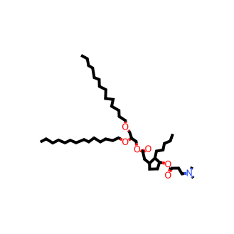 CCCCCCCCCCCCCCOCC(COC(=O)CC1CCC(OC(=O)CCN(C)C)C1CCCCC)OCCCCCCCCCCCCCC